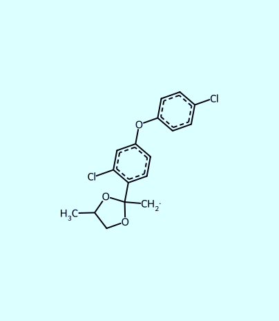 [CH2]C1(c2ccc(Oc3ccc(Cl)cc3)cc2Cl)OCC(C)O1